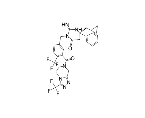 N=C1N[C@](CC2CC2)(c2ccccc2)CC(=O)N1Cc1ccc(C(F)(F)F)c(C(=O)N2CCn3c(nnc3C(F)(F)F)C2)c1